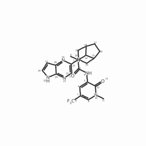 CN(C(=O)Nc1cc(C(F)(F)F)cn(C)c1=O)C1C2CCC1CN(c1cnc3[nH]ccc3n1)C2